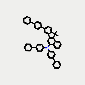 CC1(C)c2ccc(-c3ccc(-c4ccccc4)cc3)cc2-c2cc(N(c3ccc(-c4ccccc4)cc3)c3ccc(-c4ccccc4)cc3)c3ccccc3c21